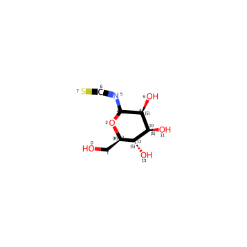 OC[C@H]1OC(N=C=S)[C@@H](O)[C@@H](O)[C@@H]1O